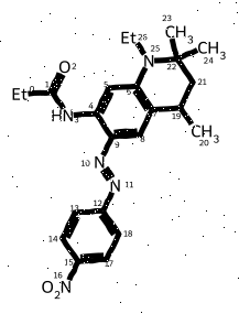 CCC(=O)Nc1cc2c(cc1/N=N/c1ccc([N+](=O)[O-])cc1)C(C)CC(C)(C)N2CC